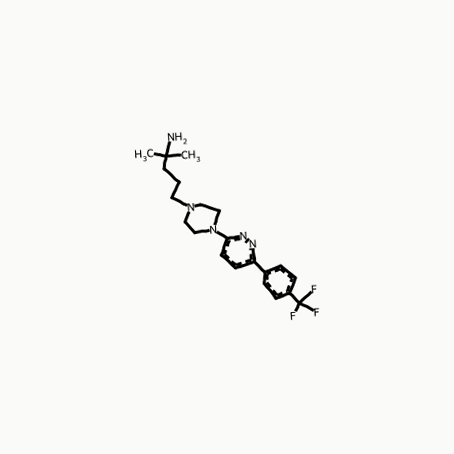 CC(C)(N)CCCN1CCN(c2ccc(-c3ccc(C(F)(F)F)cc3)nn2)CC1